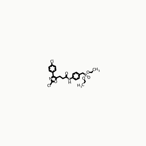 CCOP(=O)(Cc1ccc(NC(=O)CCc2oc(Cl)nc2-c2ccc(Cl)cc2)cc1)OCC